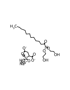 CCCCCCCCCCCC(=O)N(OCCO)OCCO.O=C([O-])CC(C(=O)[O-])S(=O)(=O)O.[Na+].[Na+]